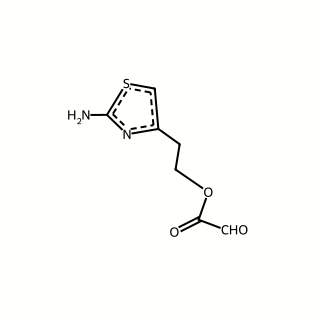 Nc1nc(CCOC(=O)C=O)cs1